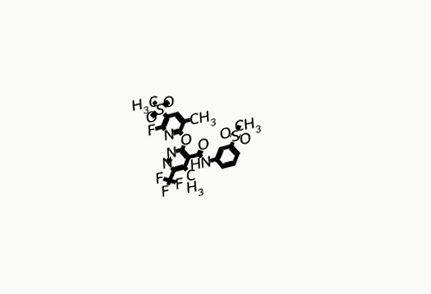 Cc1cc(S(C)(=O)=O)c(F)nc1Oc1nnc(C(F)(F)F)c(C)c1C(=O)Nc1cccc(S(C)(=O)=O)c1